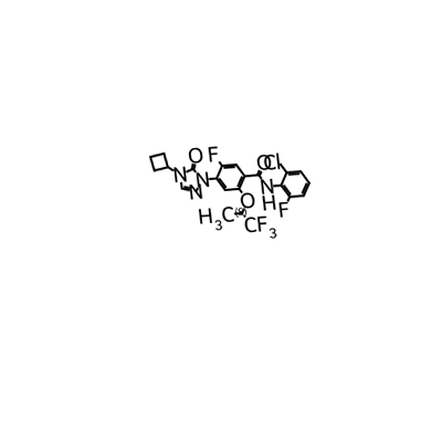 C[C@H](Oc1cc(-n2ncn(C3CCC3)c2=O)c(F)cc1C(=O)Nc1c(F)cccc1Cl)C(F)(F)F